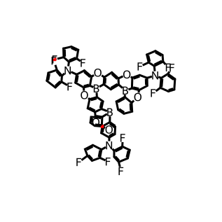 Fc1ccc(N(c2cc3c4c(c2)Oc2cc5c(cc2B4c2ccccc2O3)B2c3cc4c(cc3Oc3cc(N(c6c(F)cccc6F)c6c(F)cccc6F)cc(c32)O5)Oc2cc(N(c3c(F)cccc3F)c3c(F)cccc3F)cc3c2B4c2ccccc2O3)c2cc(F)ccc2F)c(F)c1